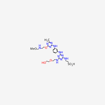 COCNCCOc1nc(C)nc(Nc2cccc(Nc3nc(NCCOCCO)nc(NCCS(=O)(=O)O)n3)c2)n1